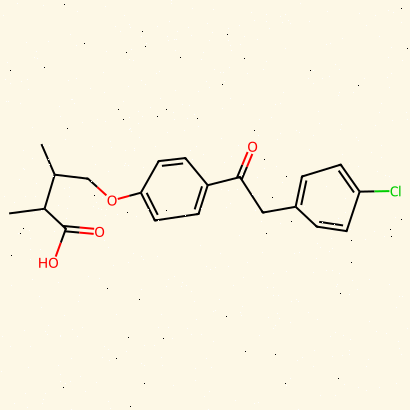 CC(COc1ccc(C(=O)Cc2ccc(Cl)cc2)cc1)C(C)C(=O)O